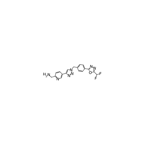 NCc1ccc(-c2cn(Cc3ccc(-c4nnc(C(F)F)o4)cc3)nn2)cn1